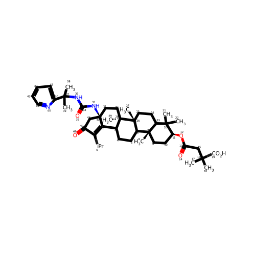 CC(C)C1=C2C3CCC4[C@@]5(C)CC[C@H](OC(=O)CC(C)(C)C(=O)O)C(C)(C)C5CC[C@@]4(C)[C@]3(C)CC[C@@]2(NC(=O)NC(C)(C)c2ccccn2)CC1=O